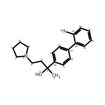 CC(O)(CCN1CCCC1)c1ccc(-c2ccccc2F)cc1